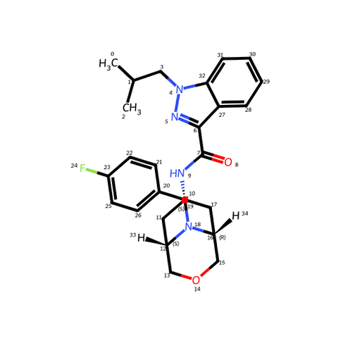 CC(C)Cn1nc(C(=O)N[C@H]2C[C@H]3COC[C@@H](C2)N3Cc2ccc(F)cc2)c2ccccc21